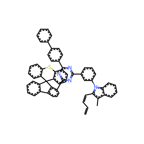 C=C/C=C\c1c(C)c2ccccc2n1-c1cccc(-c2nc(-c3ccc(-c4ccccc4)cc3)nc(-c3cccc4c3C3(c5ccccc5Sc5ccccc53)c3ccccc3-4)n2)c1